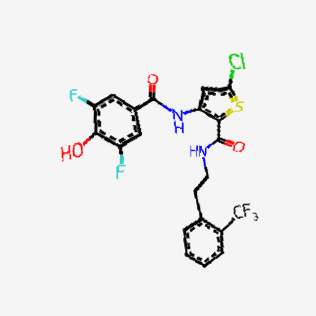 O=C(Nc1cc(Cl)sc1C(=O)NCCc1ccccc1C(F)(F)F)c1cc(F)c(O)c(F)c1